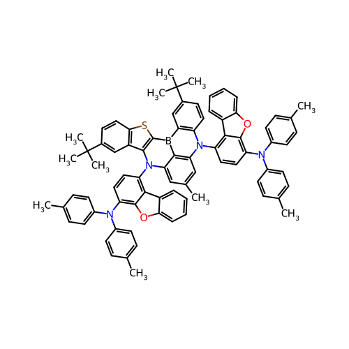 Cc1ccc(N(c2ccc(C)cc2)c2ccc(N3c4ccc(C(C)(C)C)cc4B4c5sc6ccc(C(C)(C)C)cc6c5N(c5ccc(N(c6ccc(C)cc6)c6ccc(C)cc6)c6oc7ccccc7c56)c5cc(C)cc3c54)c3c2oc2ccccc23)cc1